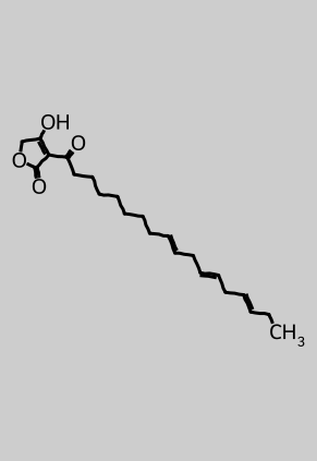 CCC=CCC=CCC=CCCCCCCCC(=O)C1=C(O)COC1=O